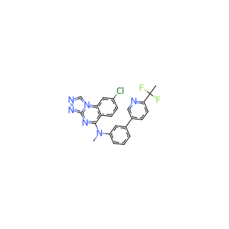 CN(c1cccc(-c2ccc(C(C)(F)F)nc2)c1)c1nc2nncn2c2cc(Cl)ccc12